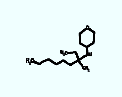 CCCCCCC(C)(CC)NC1CCOCC1